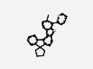 Cc1ccc2c(oc3ccc4c(c32)-c2ccccc2C42CCCC2)c1-c1ccccn1